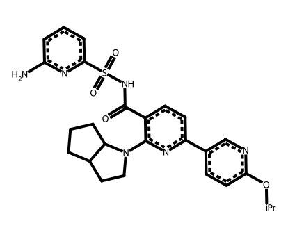 CC(C)Oc1ccc(-c2ccc(C(=O)NS(=O)(=O)c3cccc(N)n3)c(N3CCC4CCCC43)n2)cn1